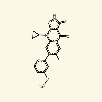 O=c1[nH]sc2c1c(=O)c1cc(F)c(-c3cccc(OC(F)(F)F)c3)cc1n2C1CC1